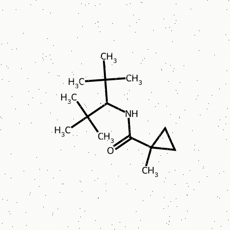 CC1(C(=O)NC(C(C)(C)C)C(C)(C)C)CC1